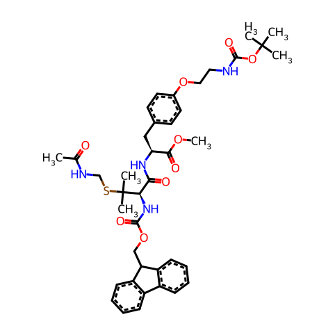 COC(=O)[C@H](Cc1ccc(OCCNC(=O)OC(C)(C)C)cc1)NC(=O)[C@@H](NC(=O)OCC1c2ccccc2-c2ccccc21)C(C)(C)SCNC(C)=O